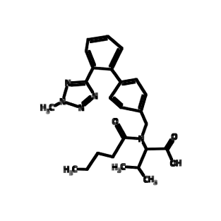 CCCCC(=O)N(Cc1ccc(-c2ccccc2-c2nnn(C)n2)cc1)C(C(=O)O)C(C)C